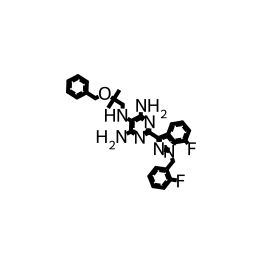 CC(C)(CNc1c(N)nc(-c2nn(Cc3ccccc3F)c3c(F)cccc23)nc1N)OCc1ccccc1